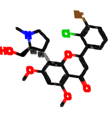 COc1cc(OC)c2c(=O)cc(-c3cccc(Br)c3Cl)oc2c1[C@H]1CCN(C)[C@@H]1CO